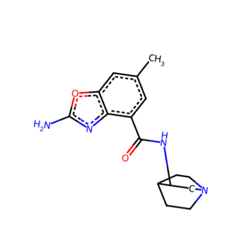 Cc1cc(C(=O)NC2CN3CCC2CC3)c2nc(N)oc2c1